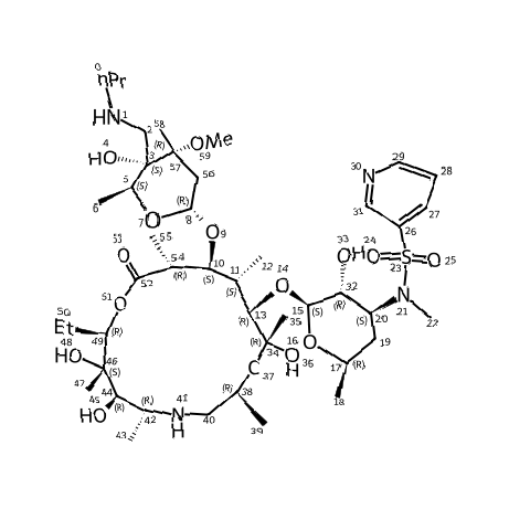 CCCNC[C@]1(O)[C@H](C)O[C@@H](O[C@H]2[C@H](C)[C@@H](O[C@@H]3O[C@H](C)C[C@H](N(C)S(=O)(=O)c4cccnc4)[C@H]3O)[C@](C)(O)C[C@@H](C)CN[C@H](C)[C@@H](O)[C@](C)(O)[C@@H](CC)OC(=O)[C@@H]2C)C[C@@]1(C)OC